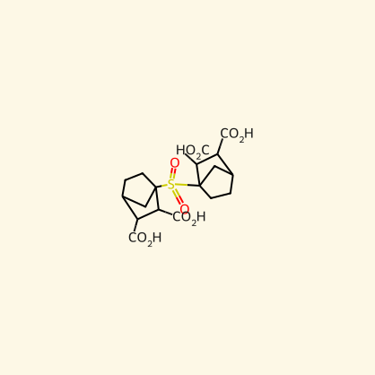 O=C(O)C1C2CCC(S(=O)(=O)C34CCC(C3)C(C(=O)O)C4C(=O)O)(C2)C1C(=O)O